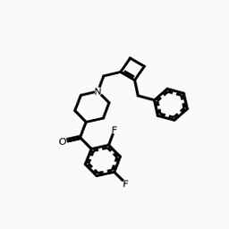 O=C(c1ccc(F)cc1F)C1CCN(CC2=C(Cc3ccccc3)CC2)CC1